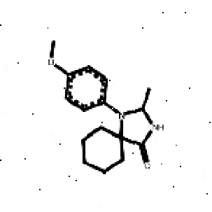 COc1ccc(N2C(C)NC(=O)C23CCCCC3)cc1